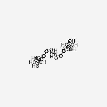 O=C(NCCNC(=O)c1cccc(-c2ccc(OC(O)C3(O)C(O)C(O)C3CO)cc2)c1)c1cccc(-c2ccc(OC(O)C3(O)C(O)C(O)C3CO)cc2)c1